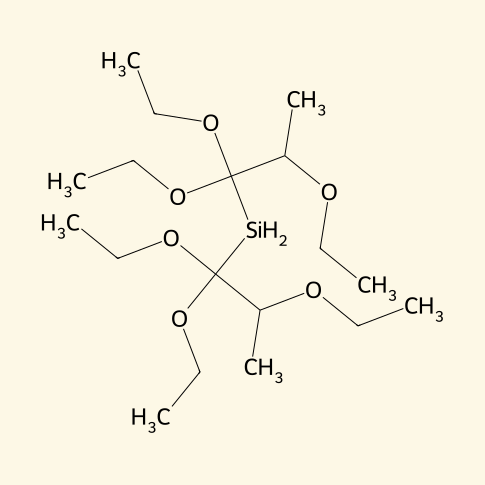 CCOC(C)C(OCC)(OCC)[SiH2]C(OCC)(OCC)C(C)OCC